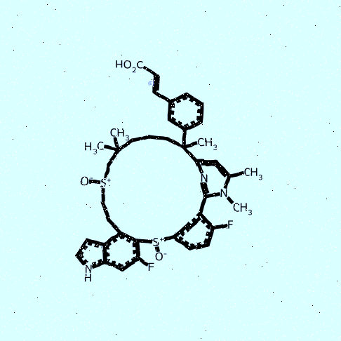 CC1=C=C2N=C(c3cc(ccc3F)[S+]([O-])c3c(F)cc4[nH]ccc4c3CC[S+]([O-])CC(C)(C)CCCC2(C)c2cccc(/C=C/C(=O)O)c2)N1C